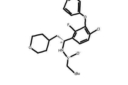 CC(C)(C)C[S+]([O-])N[C@H](CC1CCOCC1)c1ccc(Cl)c(Oc2ccccc2)c1F